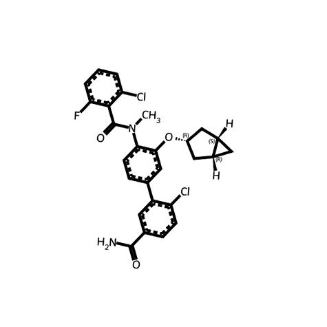 CN(C(=O)c1c(F)cccc1Cl)c1ccc(-c2cc(C(N)=O)ccc2Cl)cc1O[C@@H]1C[C@@H]2C[C@@H]2C1